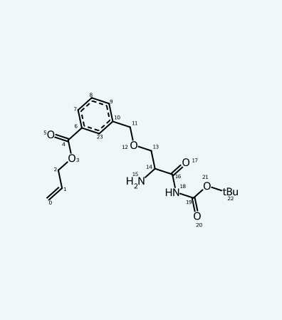 C=CCOC(=O)c1cccc(COCC(N)C(=O)NC(=O)OC(C)(C)C)c1